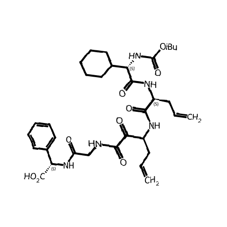 C=CCC(NC(=O)[C@H](CC=C)NC(=O)[C@@H](NC(=O)OCC(C)C)C1CCCCC1)C(=O)C(=O)NCC(=O)N[C@H](C(=O)O)c1ccccc1